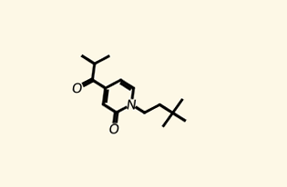 CC(C)C(=O)c1ccn(CCC(C)(C)C)c(=O)c1